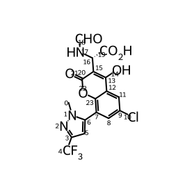 Cn1nc(C(F)(F)F)cc1-c1cc(Cl)cc2c(O)c([C@H](NC=O)C(=O)O)c(=O)oc12